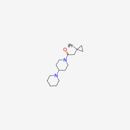 CC(C)C1(CC(=O)N2CCC(N3CCCCC3)CC2)CC1